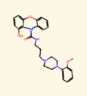 COc1ccccc1N1CCN(CCCNC(=O)N2c3ccccc3Oc3cccc(O)c32)CC1